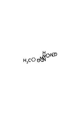 C[C@H]1CC[C@H](COc2ccnc(Nc3ccc(N4CCOCC4)cc3)n2)CC1